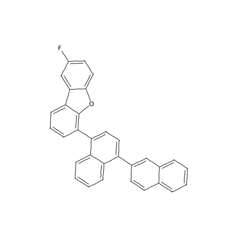 Fc1ccc2oc3c(-c4ccc(-c5ccc6ccccc6c5)c5ccccc45)cccc3c2c1